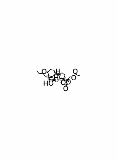 CCCC[C@@]1(C)C(=O)CC[C@H]2[C@@H]3CC[C@](OC(C)=O)(C(=O)COC(C)=O)[C@@]3(C)C[C@H](O)C21F